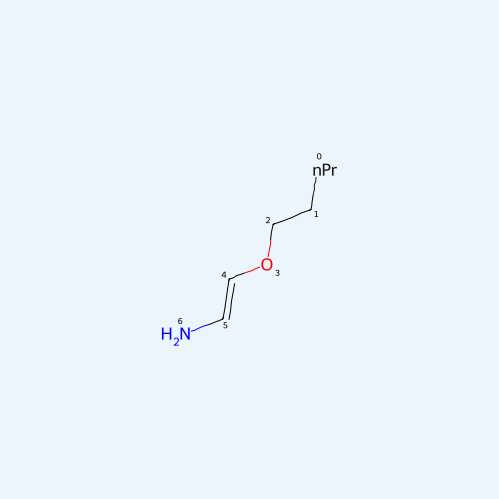 CCCCCOC=CN